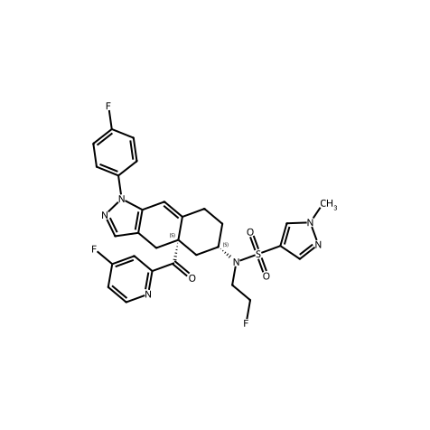 Cn1cc(S(=O)(=O)N(CCF)[C@H]2CCC3=Cc4c(cnn4-c4ccc(F)cc4)C[C@]3(C(=O)c3cc(F)ccn3)C2)cn1